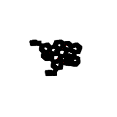 CC(C)(C)c1cc(C2=C(N(c3ccccc3-c3cc(C(C)(C)C)cc(C(C)(C)C)c3)c3ccccc3-c3cccc4cccc(C56CC7CC8CC(C5)C86C7)c34)C=CCC2)cc(C(C)(C)C)c1